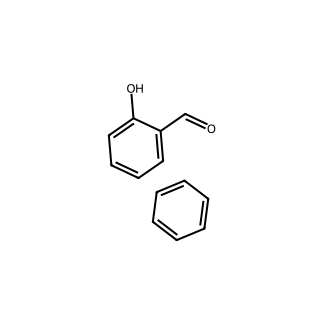 O=Cc1ccccc1O.c1ccccc1